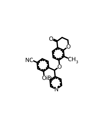 Cc1c(OC(c2ccncc2)c2ccc(C#N)cc2OCC(C)C)ccc2c1OCCC2=O